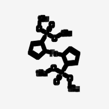 CC(C)(C)OP(=O)(OC(C)(C)C)C1=CC=C[CH]1[Fe][CH]1C=CC=C1P(=O)(OC(C)(C)C)OC(C)(C)C